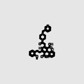 COc1ccccc1CCC1=C(C(=O)O)C(c2c(Cl)cccc2Cl)C(C(=O)O)=C(CC(=O)N2CCN(Cc3cccnc3)CC2)N1